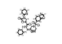 CC(C)CN(C[C@@H](O)[C@H](Cc1ccccc1)NC(=O)[C@@H]1CN(c2ccccn2)C(=O)O1)S(=O)(=O)c1ccc2ncoc2c1